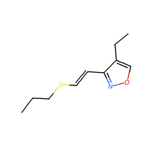 CCCSC=Cc1nocc1CC